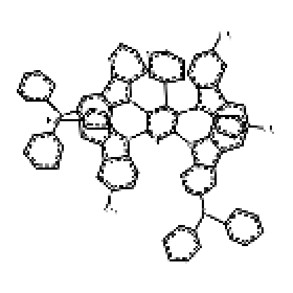 Cc1ccc2c(c1)c1cc(C)ccc1n2-c1nc(-n2c3ccccc3c3cc(N(c4ccccc4)c4ccccc4)ccc32)c(-n2c3ccc(C)cc3c3cc(C)ccc32)c(-c2cccnc2)c1-n1c2ccccc2c2cc(N(c3ccccc3)c3ccccc3)ccc21